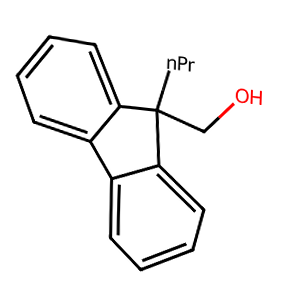 CCCC1(CO)c2ccccc2-c2ccccc21